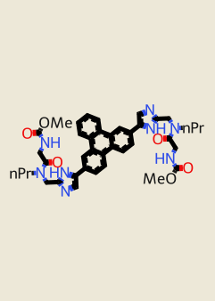 CCCN(Cc1ncc(-c2ccc3c4ccc(-c5cnc(CN(CCC)C(=O)CNC(=O)OC)[nH]5)cc4c4ccccc4c3c2)[nH]1)C(=O)CNC(=O)OC